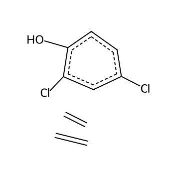 C=C.C=C.Oc1ccc(Cl)cc1Cl